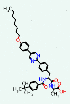 CCCCCCCCOc1ccc(-c2cnc(-c3ccc(C[C@H](NC(=O)c4ccc(C(C)(C)C)cc4)C(=O)N[C@H](C)C(=O)O)cc3)nc2)cc1